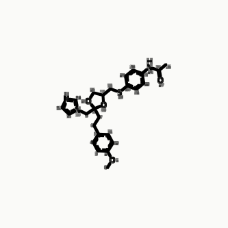 COc1ccc(CCC2(Cn3ccnc3)OCC(CSc3ccc(NC(C)=O)cc3)O2)cc1